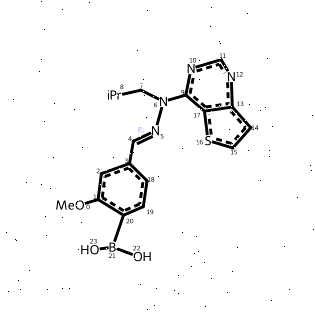 COc1cc(/C=N/N(CC(C)C)c2ncnc3ccsc23)ccc1B(O)O